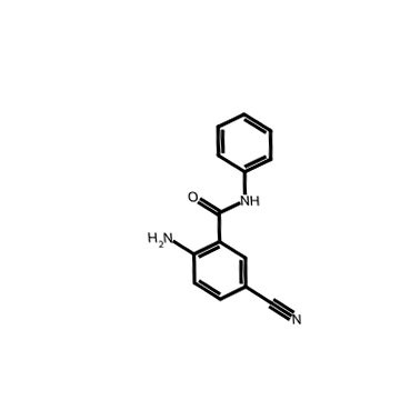 N#Cc1ccc(N)c(C(=O)Nc2ccccc2)c1